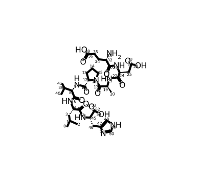 CC(C)C[C@H](NC(=O)[C@@H](NC(=O)[C@@H]1CCCN1C(=O)[C@H](C)NC(=O)[C@H](CC(=O)O)NC(=O)[C@@H](N)CCC(=O)O)C(C)C)C(=O)N[C@@H](Cc1c[nH]cn1)C(=O)O